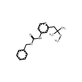 COC(C)(C)[CH]c1cc(NC(=O)OCc2ccccc2)ccn1